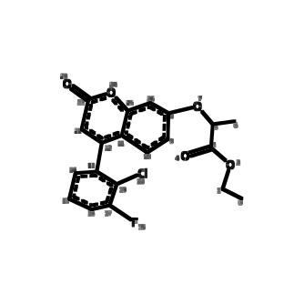 CCOC(=O)C(C)Oc1ccc2c(-c3cccc(F)c3Cl)cc(=O)oc2c1